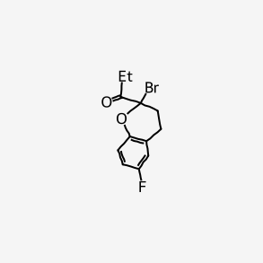 CCC(=O)C1(Br)CCc2cc(F)ccc2O1